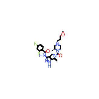 C=C1c2[nH]nc(NC(=O)c3ccc(F)cc3F)c2CN1C(=O)N1CCN(CCCOC)C[C@@H]1C